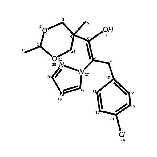 CC1OCC(C)(C(O)=C(Cc2ccc(Cl)cc2)n2cncn2)CO1